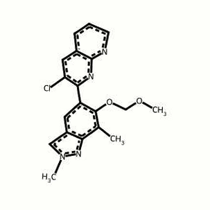 COCOc1c(-c2nc3ncccc3cc2Cl)cc2cn(C)nc2c1C